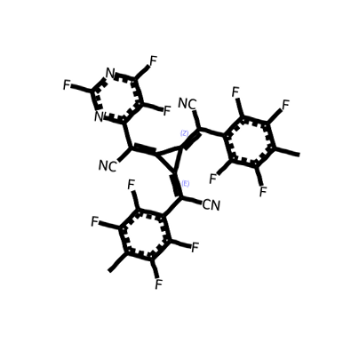 Cc1c(F)c(F)c(/C(C#N)=C2/C(=C(C#N)c3nc(F)nc(F)c3F)/C2=C(/C#N)c2c(F)c(F)c(C)c(F)c2F)c(F)c1F